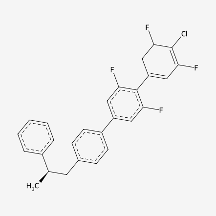 C[C@H](Cc1ccc(-c2cc(F)c(C3=CC(F)=C(Cl)C(F)C3)c(F)c2)cc1)c1ccccc1